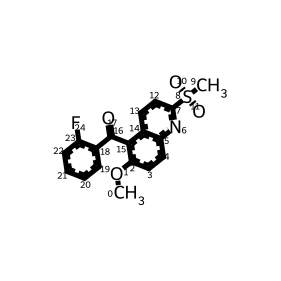 COc1ccc2nc(S(C)(=O)=O)ccc2c1C(=O)c1ccccc1F